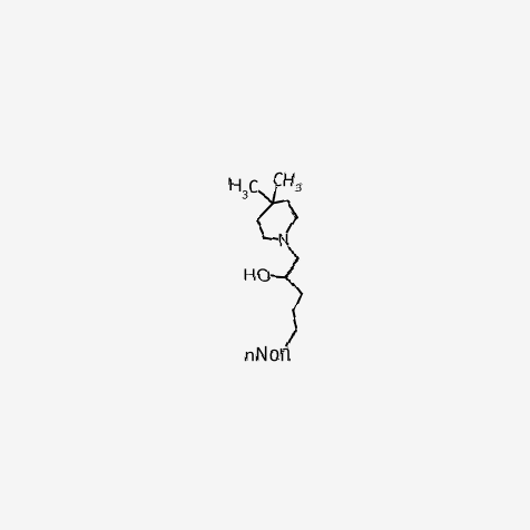 CCCCCCCCCCCCC(O)CN1CCC(C)(C)CC1